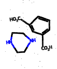 C1CNCCN1.O=C(O)c1cccc(C(=O)O)c1